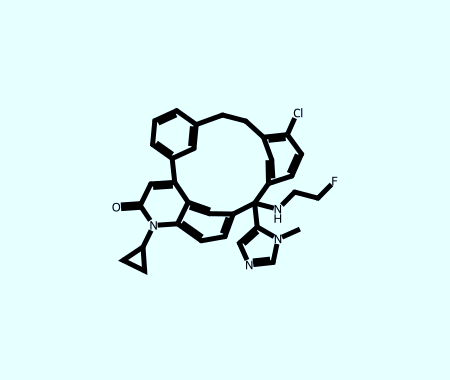 Cn1cncc1C1(NCCF)c2ccc(Cl)c(c2)CCc2cccc(c2)-c2cc(=O)n(C3CC3)c3ccc1cc23